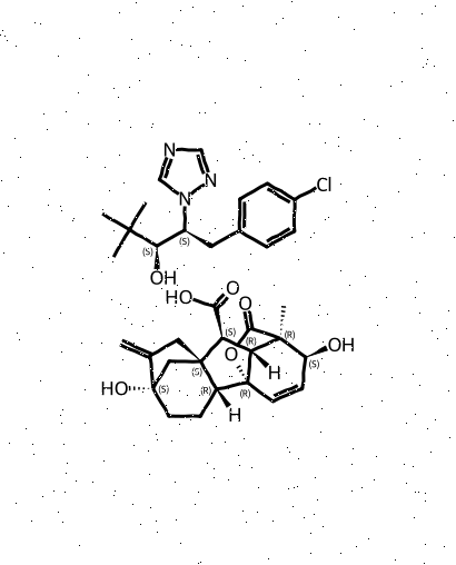 C=C1C[C@]23C[C@@]1(O)CC[C@H]2[C@@]12C=C[C@H](O)[C@](C)(C(=O)O1)[C@H]2[C@@H]3C(=O)O.CC(C)(C)[C@H](O)[C@H](Cc1ccc(Cl)cc1)n1cncn1